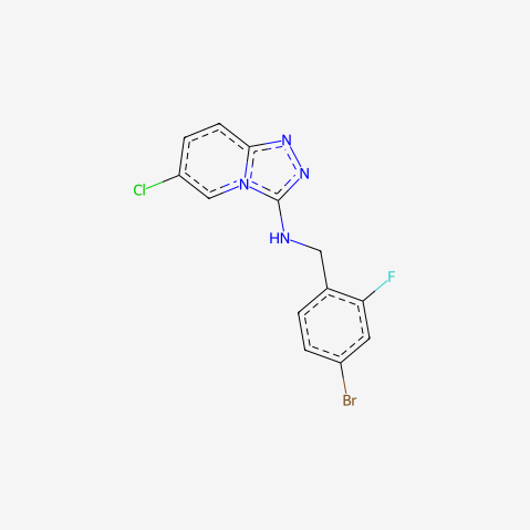 Fc1cc(Br)ccc1CNc1nnc2ccc(Cl)cn12